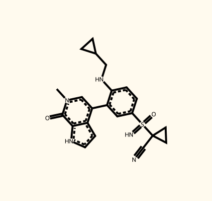 Cn1cc(-c2cc(S(=N)(=O)C3(C#N)CC3)ccc2NCC2CC2)c2cc[nH]c2c1=O